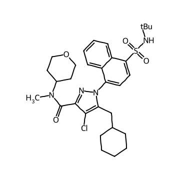 CN(C(=O)c1nn(-c2ccc(S(=O)(=O)NC(C)(C)C)c3ccccc23)c(CC2CCCCC2)c1Cl)C1CCOCC1